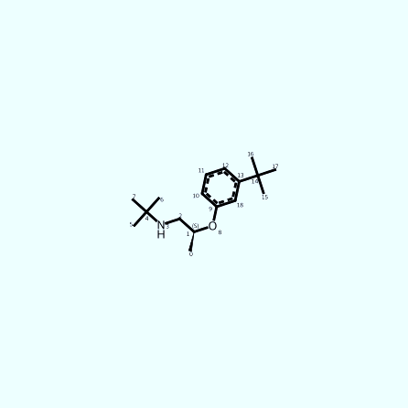 C[C@@H](CNC(C)(C)C)Oc1cccc(C(C)(C)C)c1